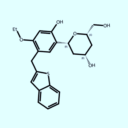 CCOc1cc(O)c([C@H]2C[C@@H](O)C[C@@H](CO)O2)cc1Cc1cc2ccccc2s1